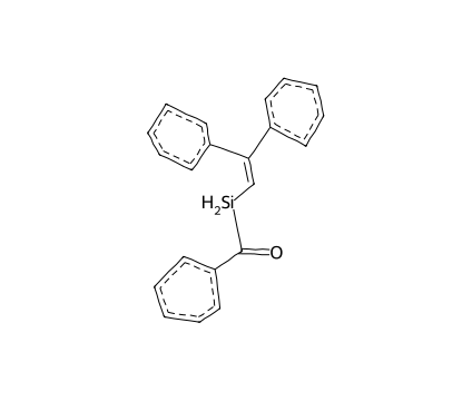 O=C([SiH2]C=C(c1ccccc1)c1ccccc1)c1ccccc1